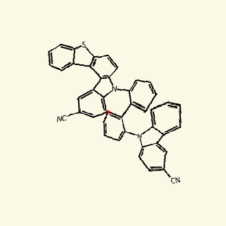 N#Cc1ccc2c(c1)c1ccccc1n2-c1ccccc1-c1ccccc1-n1c2ccc(C#N)cc2c2c3c(ccc21)sc1ccccc13